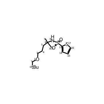 CC(C)(C)COCCCC(C)(C)NS(=O)(=O)c1cccs1